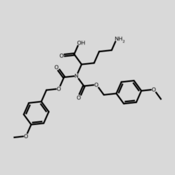 COc1ccc(COC(=O)N(C(=O)OCc2ccc(OC)cc2)C(CCCN)C(=O)O)cc1